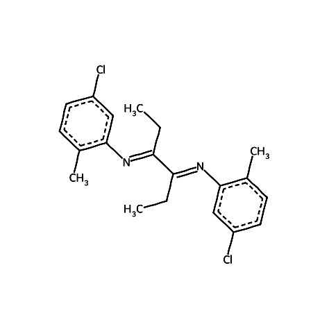 CCC(=N\c1cc(Cl)ccc1C)/C(CC)=N/c1cc(Cl)ccc1C